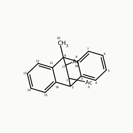 CC(=O)C1C2c3ccccc3C(C)(c3ccccc32)C1C(C)=O